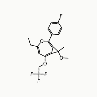 CCC1=CC(OCC(F)(F)F)=C2C(=C(c3ccc(F)cc3)O1)C2(C)OC